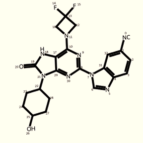 [C-]#[N+]c1ccc2ncn(-c3nc(N4CC(F)(F)C4)c4[nH]c(=O)n(C5CCC(O)CC5)c4n3)c2c1